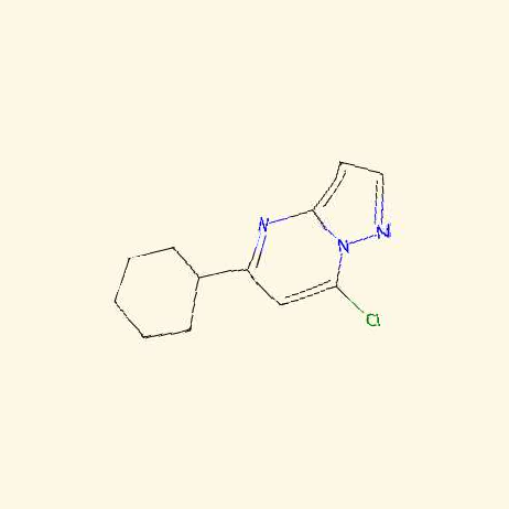 Clc1cc(C2CCCCC2)nc2ccnn12